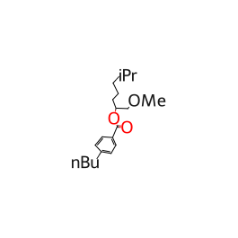 CCCCc1ccc(C(=O)OC(CCCC(C)C)COC)cc1